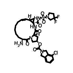 N[C@H]1CCCCC/C=C\[C@@H]2C[C@@]2(C(=O)NS(=O)(=O)N2CCC(F)(F)C2)NC(=O)[C@@H]2C[C@@H](OC(=O)N3Cc4cccc(Cl)c4C3)CN2C1=O